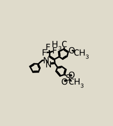 COc1ccc(-c2c(-c3ccc(S(C)(=O)=O)cc3)nn(Cc3ccccc3)c2C(F)(F)F)cc1C